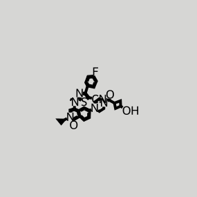 CN(c1nc(-c2ccc(F)cc2)c(C#N)s1)c1cn(C2CC2)c(=O)c2ccc(N3CCN(C(=O)C4CC(O)C4)CC3)cc12